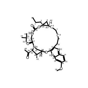 CCC[C@@]12C[C@H]1CCCCCc1nc3ccc(OC)cc3nc1O[C@H]1CN(C(=O)[C@H](C(C)(C)C)NC(=O)O2)[C@H](C(C)=O)[C@@H]1C